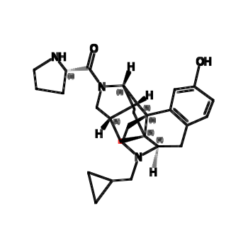 O=C([C@@H]1CCCN1)N1C[C@H]2C[C@@]34CC[C@@H]1[C@@H]2[C@@]31CCN(CC2CC2)[C@@H]4Cc2ccc(O)cc21